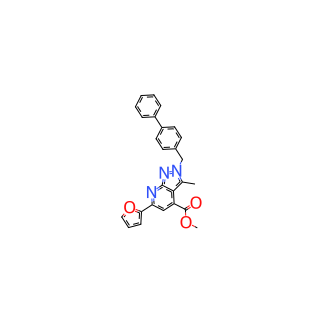 COC(=O)c1cc(-c2ccco2)nc2nn(Cc3ccc(-c4ccccc4)cc3)c(C)c12